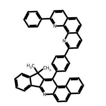 CC1(C)c2ccccc2-c2nc3ccc4ccccc4c3c(-c3ccc(-c4ccc5ccc6ccc(-c7ccccc7)nc6c5n4)cc3)c21